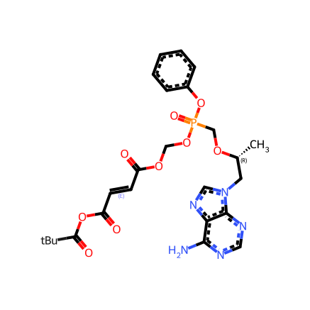 C[C@H](Cn1cnc2c(N)ncnc21)OCP(=O)(OCOC(=O)/C=C/C(=O)OC(=O)C(C)(C)C)Oc1ccccc1